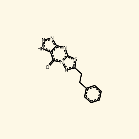 O=c1c2[nH]nnc2nc2sc(CCc3ccccc3)nn12